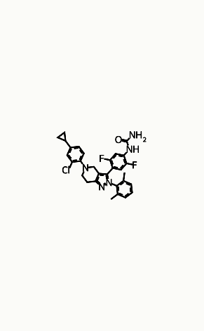 Cc1cccc(C)c1-n1nc2c(c1-c1cc(F)c(NC(N)=O)cc1F)CN(c1ccc(C3CC3)cc1Cl)CC2